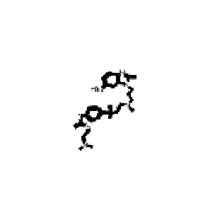 Cc1nc2ccc(C(C)(C)C)cc2n1CCCN(C)CCC(C)(C)c1ccc2nc(C)n(CCN(C)C)c2c1